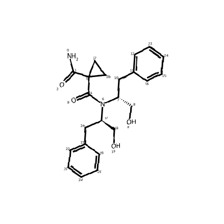 NC(=O)C1(C(=O)N([C@@H](CO)Cc2ccccc2)[C@@H](CO)Cc2ccccc2)CC1